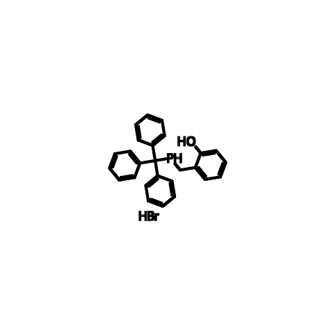 Br.Oc1ccccc1CPC(c1ccccc1)(c1ccccc1)c1ccccc1